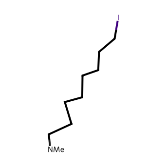 CNCCCCCCCCI